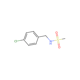 CS(=O)(=O)NCc1[c]cc(Cl)cc1